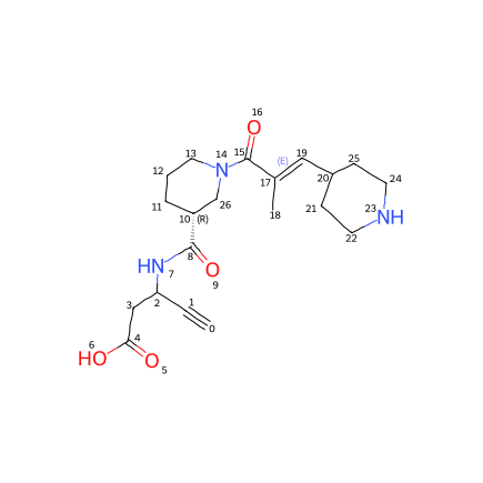 C#CC(CC(=O)O)NC(=O)[C@@H]1CCCN(C(=O)/C(C)=C/C2CCNCC2)C1